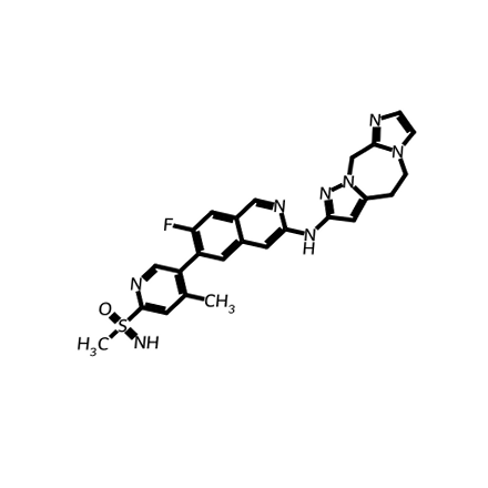 Cc1cc(S(C)(=N)=O)ncc1-c1cc2cc(Nc3cc4n(n3)Cc3nccn3CC4)ncc2cc1F